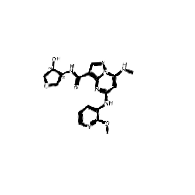 CNc1cc(Nc2cccnc2OC)nc2c(C(=O)N[C@H]3COC[C@H]3O)cnn12